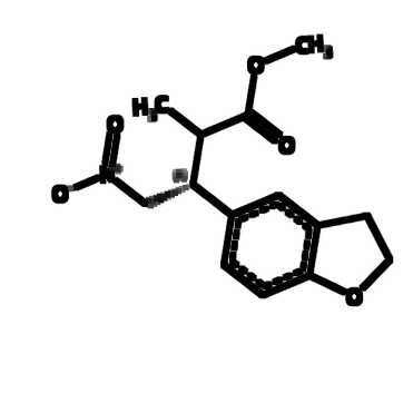 COC(=O)C(C)[C@@H](C[N+](=O)[O-])c1ccc2c(c1)CCO2